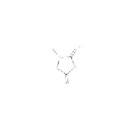 CN1CC(=O)NC1=[Se]